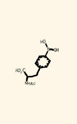 CC(=O)NC(Cc1ccc(B(O)O)cc1)C(=O)O